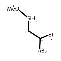 CCCCC(CC)C[SiH2]OC